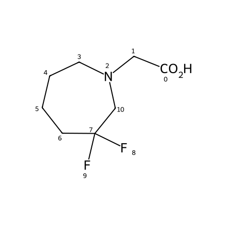 O=C(O)CN1CCCCC(F)(F)C1